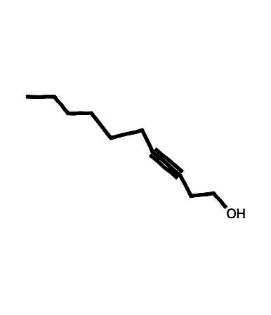 CCCCCCC#CCCO